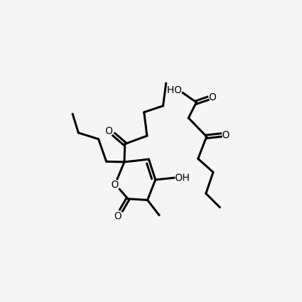 CCCCC(=O)C1(CCCC)C=C(O)C(C)C(=O)O1.CCCCC(=O)CC(=O)O